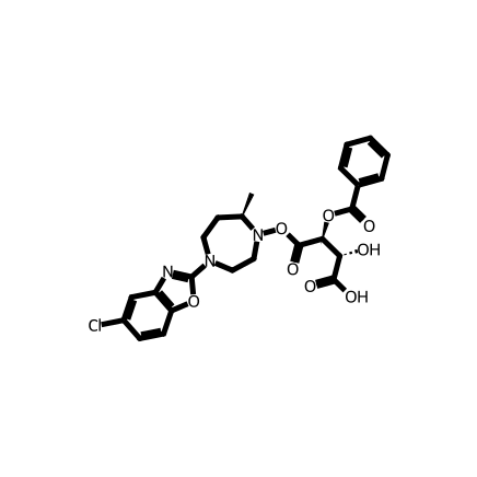 C[C@@H]1CCN(c2nc3cc(Cl)ccc3o2)CCN1OC(=O)[C@@H](OC(=O)c1ccccc1)[C@H](O)C(=O)O